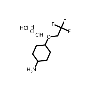 Cl.Cl.Cl.NC1CCC(OCC(F)(F)F)CC1